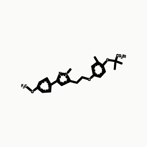 CCOC(=O)C(C)(C)Oc1ccc(OCCc2cc(-c3ccc(OC(F)(F)F)cc3)nn2C)cc1C